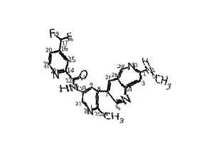 CNc1cc2ncc(-c3cc(NC(=O)c4cc(C(F)F)ccn4)cnc3C)cc2cn1